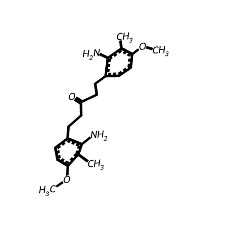 COc1ccc(CCC(=O)CCc2ccc(OC)c(C)c2N)c(N)c1C